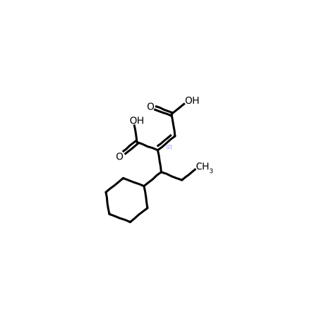 CCC(/C(=C/C(=O)O)C(=O)O)C1CCCCC1